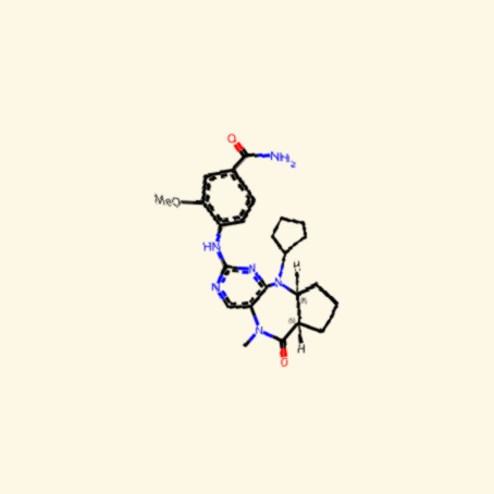 COc1cc(C(N)=O)ccc1Nc1ncc2c(n1)N(C1CCCC1)[C@@H]1CCC[C@@H]1C(=O)N2C